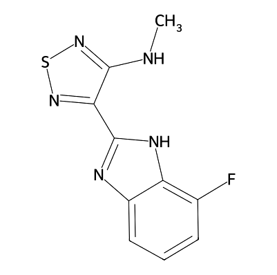 CNc1nsnc1-c1nc2cccc(F)c2[nH]1